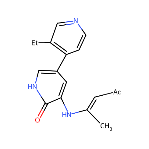 CCc1cnccc1-c1c[nH]c(=O)c(NC(C)=CC(C)=O)c1